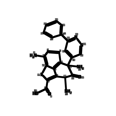 Nc1ccc2c3c(c(C(=O)O)sc13)C(N)C(=O)C2(N)c1cnnc(-c2ccccc2)c1